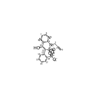 C#CCN1c2nccnc2C(O)=C(c2ccccc2[N+](=O)[O-])S1(=O)=O